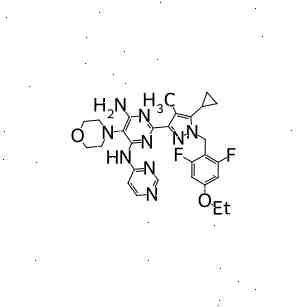 CCOc1cc(F)c(Cn2nc(-c3nc(N)c(N4CCOCC4)c(Nc4ccncn4)n3)c(C)c2C2CC2)c(F)c1